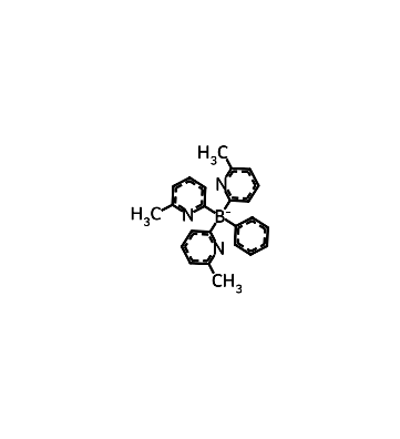 Cc1cccc([B-](c2ccccc2)(c2cccc(C)n2)c2cccc(C)n2)n1